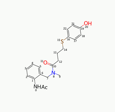 CC(=O)Nc1ccccc1CN(C)C(=O)CCCSc1ccc(O)cc1